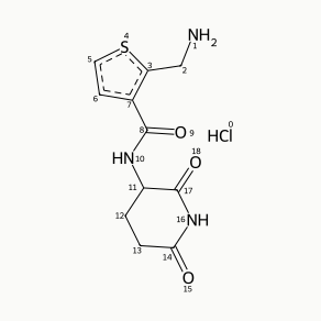 Cl.NCc1sccc1C(=O)NC1CCC(=O)NC1=O